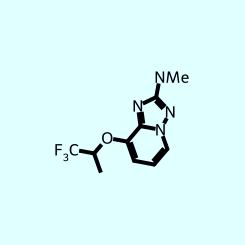 CNc1nc2c(OC(C)C(F)(F)F)cccn2n1